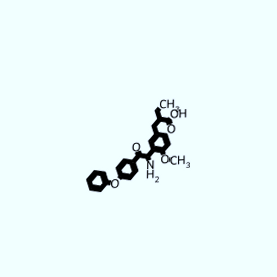 CCC(Cc1ccc(OC)c(C(N)C(=O)c2ccc(Oc3ccccc3)cc2)c1)C(=O)O